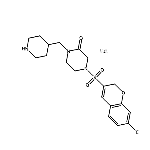 Cl.O=C1CN(S(=O)(=O)C2=Cc3ccc(Cl)cc3OC2)CCN1CC1CCNCC1